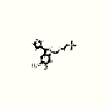 CS(C)(C)CCOCn1nc(-c2ccoc2)c2cc(N)c(F)cc21